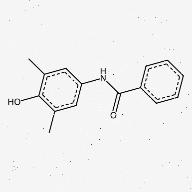 Cc1cc(NC(=O)c2ccccc2)cc(C)c1O